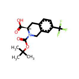 CC(C)(C)OC(=O)N1Cc2cc(C(F)(F)F)ccc2C[C@@H]1C(=O)O